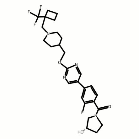 O=C(c1ccc(-c2cnc(OCC3CCN(CC4(C(F)(F)F)CCC4)CC3)nc2)cc1F)N1CC[C@H](O)C1